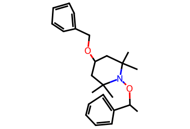 CC(ON1C(C)(C)CC(OCc2ccccc2)CC1(C)C)c1ccccc1